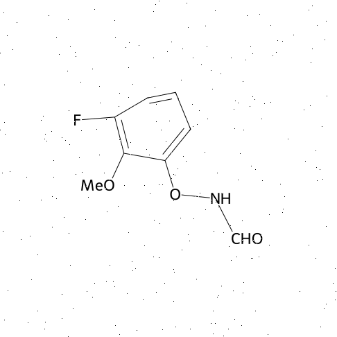 COc1c(F)cccc1ONC=O